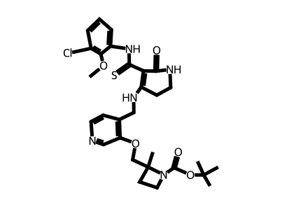 COc1c(Cl)cccc1NC(=S)C1=C(NCc2ccncc2OCC2(C)CCN2C(=O)OC(C)(C)C)CCNC1=O